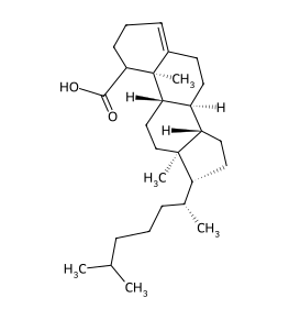 CC(C)CCC[C@@H](C)[C@H]1CC[C@H]2[C@@H]3CCC4=CCCC(C(=O)O)[C@]4(C)[C@H]3CC[C@]12C